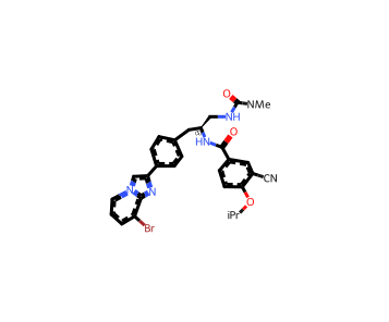 CNC(=O)NC[C@H](Cc1ccc(-c2cn3cccc(Br)c3n2)cc1)NC(=O)c1ccc(OC(C)C)c(C#N)c1